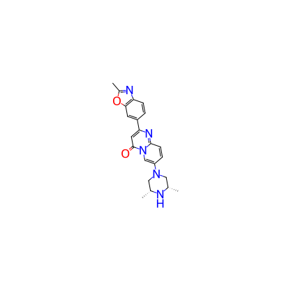 Cc1nc2ccc(-c3cc(=O)n4cc(N5C[C@@H](C)N[C@@H](C)C5)ccc4n3)cc2o1